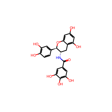 O=C(N[C@H]1Cc2c(O)cc(O)cc2O[C@@H]1c1ccc(O)c(O)c1)c1cc(O)c(O)c(O)c1